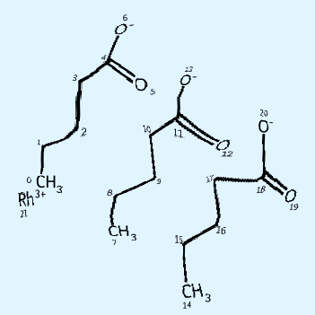 CCCCC(=O)[O-].CCCCC(=O)[O-].CCCCC(=O)[O-].[Rh+3]